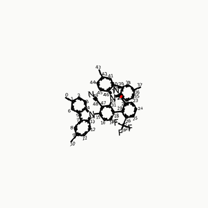 Cc1ccc2c(c1)c1cc(C)ccc1n2-c1ccc(-c2c(C#N)cccc2C(F)(F)F)c(-n2c3ccc(C)cc3c3cc(C)ccc32)c1C#N